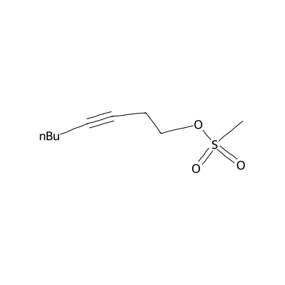 CCCCC#CCCOS(C)(=O)=O